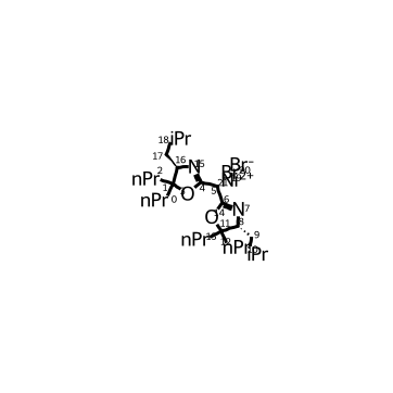 CCCC1(CCC)OC(CC2=N[C@H](CC(C)C)C(CCC)(CCC)O2)=N[C@@H]1CC(C)C.[Br-].[Br-].[Ni+2]